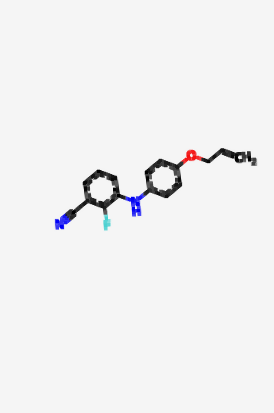 C=CCOc1ccc(Nc2cccc(C#N)c2F)cc1